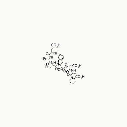 CC(C)C[C@H](NC(=O)[C@@H](NC(=O)[C@@H](N)CCC(=O)O)C(C)C)C(=O)N[C@@H](Cc1ccccc1)[C@@H](O)C(=O)N[C@@H](CC(=O)O)C(=O)N[C@@H](C)C(=O)N1CCCCC1C(=O)O